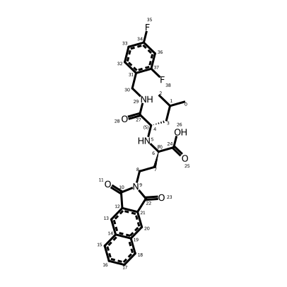 CC(C)C[C@H](N[C@H](CCN1C(=O)c2cc3ccccc3cc2C1=O)C(=O)O)C(=O)NCc1ccc(F)cc1F